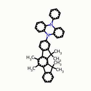 Cc1c(C)c2c(c3c1-c1ccccc1C3(C)C)C(C)(C)c1cc(N3c4ccccc4N(c4ccccc4)c4ccccc43)ccc1-2